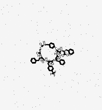 O=C1CCC(=O)N[C@H](CCc2ccccc2)C(=O)N[C@@H](Cc2ccc(C(F)(F)F)cc2)C(=O)N[C@H](Cc2ccccc2)C(=O)N[C@@H](C(=O)N[C@@H](Cc2ccccc2)C(=O)O)Cc2ccc(cc2)N1